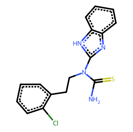 NC(=S)N(CCc1ccccc1Cl)c1nc2ccccc2[nH]1